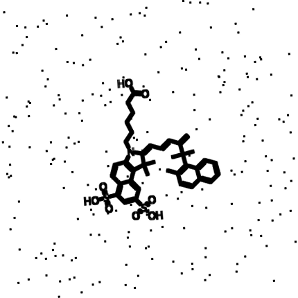 C=C(/C=C/C=C1/N(CCCCCC(=O)O)c2ccc3c(S(=O)(=O)O)cc(S(=O)(=O)O)cc3c2C1(C)C)C(C)(C)c1c(C)ccc2ccccc12